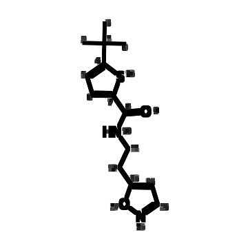 CC(C)(C)c1ccc(C(=O)NCCc2ccno2)s1